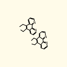 CCc1c(CC)c2cccnc2c2ncccc12.CCc1c(CC)c2cccnc2c2ncccc12